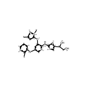 Cc1cc(Oc2cc(Sc3cccnc3C)cnc2Nc2nc(C(O)CO)cs2)n(C)n1